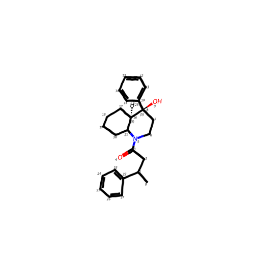 CC(CC(=O)N1CC[C@@](O)(c2ccccc2)[C@@H]2CCCCC21)c1ccccc1